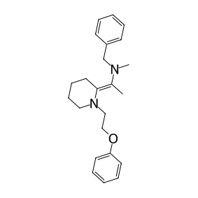 C/C(=C1/CCCCN1CCOc1ccccc1)N(C)Cc1ccccc1